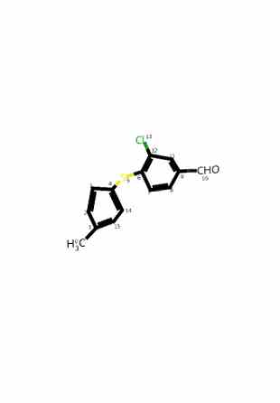 Cc1ccc(Sc2ccc(C=O)cc2Cl)cc1